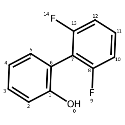 Oc1ccc[c]c1-c1c(F)cccc1F